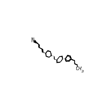 CCCCc1ccc([C@H]2CC[C@H](CC[C@H]3CC[C@H](C=CC=CC#N)CC3)CC2)cc1